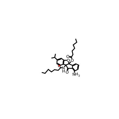 CCCCCCC(=O)NC12C(=O)c3c(N)cccc3C1(OC(=O)CCCCCC)Oc1cc(C(C)C)ccc12